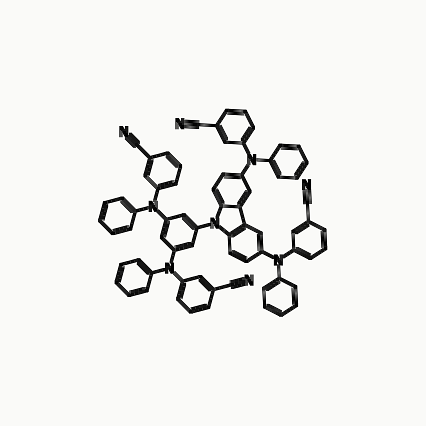 N#Cc1cccc(N(c2ccccc2)c2cc(N(c3ccccc3)c3cccc(C#N)c3)cc(-n3c4ccc(N(c5ccccc5)c5cccc(C#N)c5)cc4c4cc(N(c5ccccc5)c5cccc(C#N)c5)ccc43)c2)c1